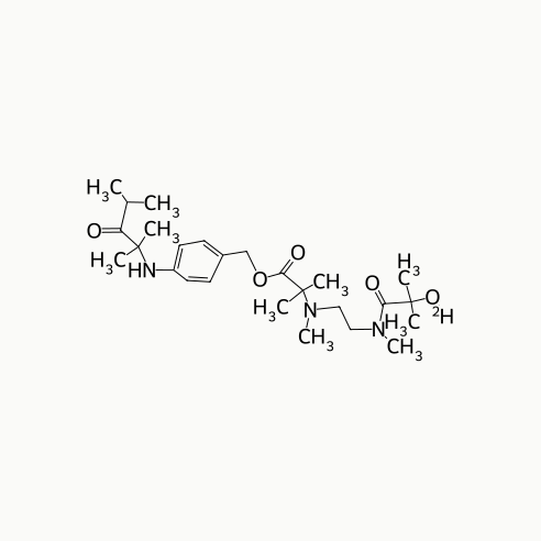 [2H]OC(C)(C)C(=O)N(C)CCN(C)C(C)(C)C(=O)OCc1ccc(NC(C)(C)C(=O)C(C)C)cc1